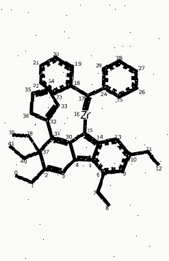 CCC1=CC2=c3c(CC)cc(CC)cc3=[C]([Zr]=[C](c3ccccc3)c3ccccc3)C2=C(C2=CC=CC2)C1(CC)CC